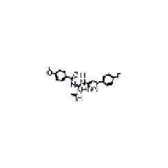 COc1ccc(C(=O)/N=C(\Nc2cc(-c3ccc(F)cc3)n[nH]2)NC(C)C)cc1